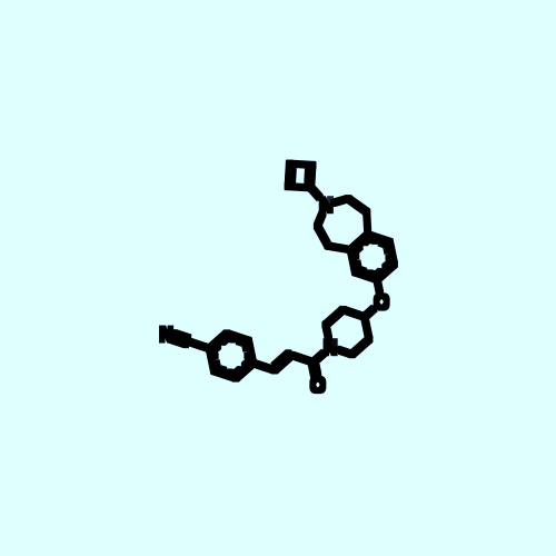 N#Cc1ccc(C=CC(=O)N2CCC(Oc3ccc4c(c3)CCN(C3=CC=C3)CC4)CC2)cc1